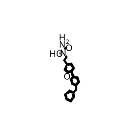 NC(=O)N(O)CCc1ccc2c(c1)oc1cc(Cc3ccccc3)ccc12